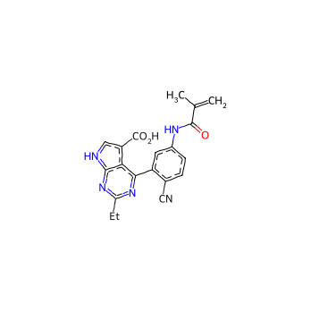 C=C(C)C(=O)Nc1ccc(C#N)c(-c2nc(CC)nc3[nH]cc(C(=O)O)c23)c1